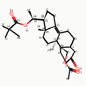 CC(=O)OC[C@]12CCC(=O)CC1CCC1=C3CC[C@H]([C@H](C)OC(=O)C(C)(C)C)[C@@]3(C)CC[C@@H]12